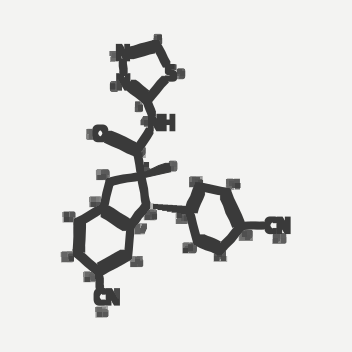 C[C@]1(C(=O)Nc2nncs2)Cc2ccc(C#N)cc2[C@H]1c1ccc(C#N)cc1